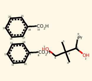 CC(C)C(O)C(C)(C)CO.O=C(O)c1ccccc1.O=C(O)c1ccccc1